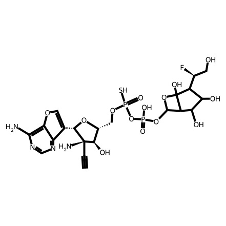 C#C[C@@]1(N)[C@H](O)[C@@H](COP(=O)(S)OP(=O)(O)OC2OC3(O)C2C(O)C(O)C3[C@@H](F)CO)O[C@H]1c1coc2c(N)ncnc12